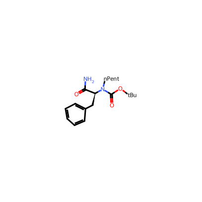 CCCCCN(C(=O)OC(C)(C)C)[C@@H](Cc1ccccc1)C(N)=O